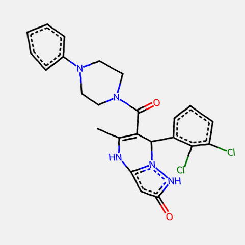 CC1=C(C(=O)N2CCN(c3ccccc3)CC2)C(c2cccc(Cl)c2Cl)n2[nH]c(=O)cc2N1